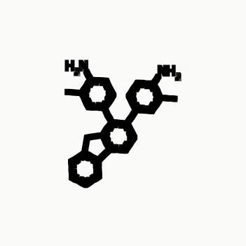 Cc1cc(-c2ccc3c(c2-c2ccc(N)c(C)c2)Cc2ccccc2-3)ccc1N